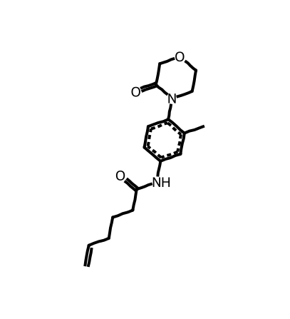 C=CCCCC(=O)Nc1ccc(N2CCOCC2=O)c(C)c1